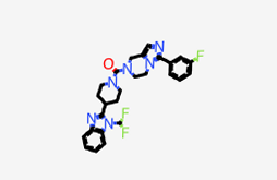 O=C(N1CCC(c2nc3ccccc3n2C(F)F)CC1)N1CCn2c(cnc2-c2cccc(F)c2)C1